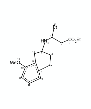 CCOC(=O)CC(CC)NC1CCc2cccc(OC)c2C1